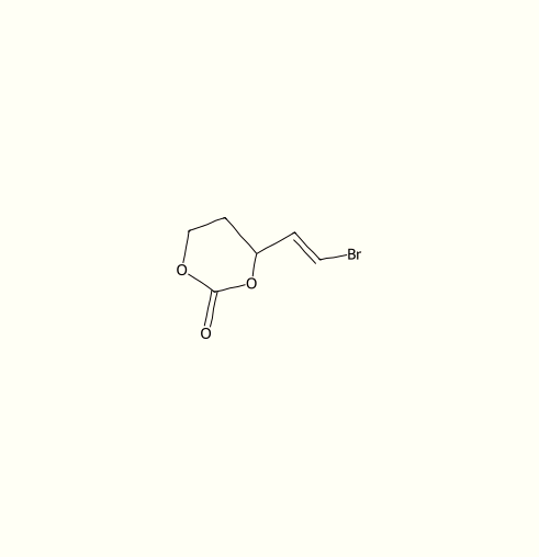 O=C1OCCC(C=CBr)O1